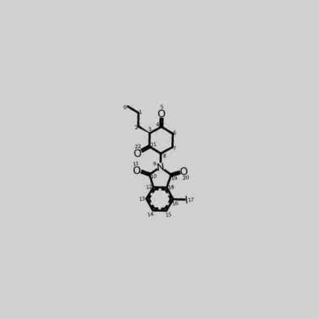 CCC[C@H]1C(=O)CCC(N2C(=O)c3cccc(I)c3C2=O)C1=O